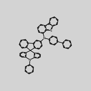 c1ccc(-c2ccc(N(c3ccc4c(c3)-c3ccccc3C43c4ccccc4N(c4ccccc4)c4ccccc43)c3cccc4c3sc3ccccc34)cc2)cc1